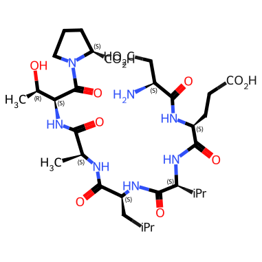 CC(C)C[C@H](NC(=O)[C@@H](NC(=O)[C@H](CCC(=O)O)NC(=O)[C@@H](N)CC(=O)O)C(C)C)C(=O)N[C@@H](C)C(=O)N[C@H](C(=O)N1CCC[C@H]1C(=O)O)[C@@H](C)O